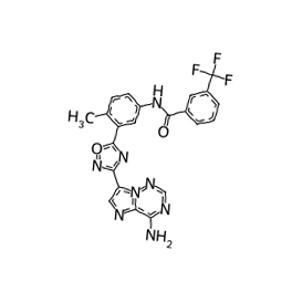 Cc1ccc(NC(=O)c2cccc(C(F)(F)F)c2)cc1-c1nc(-c2cnc3c(N)ncnn23)no1